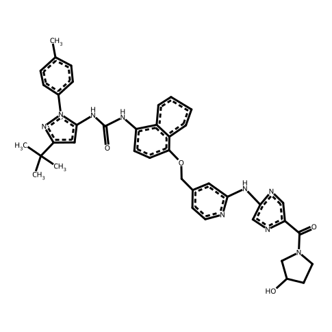 Cc1ccc(-n2nc(C(C)(C)C)cc2NC(=O)Nc2ccc(OCc3ccnc(Nc4cnc(C(=O)N5CCC(O)C5)cn4)c3)c3ccccc23)cc1